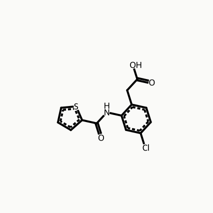 O=C(O)Cc1ccc(Cl)cc1NC(=O)c1cccs1